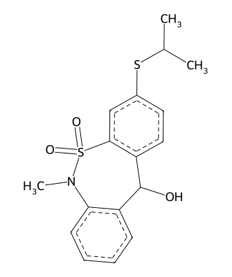 CC(C)Sc1ccc2c(c1)S(=O)(=O)N(C)c1ccccc1C2O